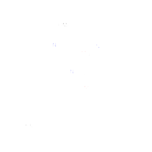 COc1ccc(N(CCc2ccc(C(F)(F)F)cc2)C(=O)C(C(=O)N(C)C)c2ccccc2)cn1